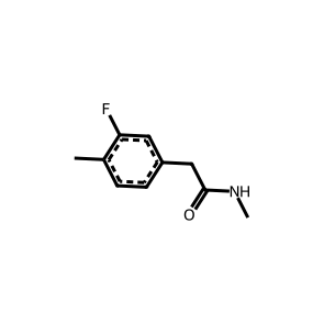 CNC(=O)Cc1ccc(C)c(F)c1